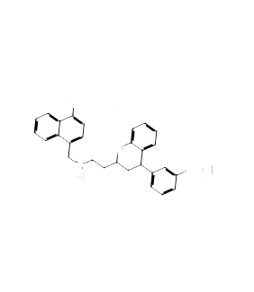 C[C@@H](NCCC1CC(c2cccc(C(=O)O)c2)c2ccccc2O1)c1ccc(F)c2ccccc12.Cl